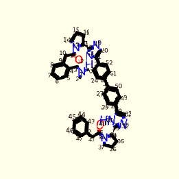 CN(C)Cc1ccccc1CC(=O)N1CCC[C@H]1c1ncc(-c2ccc(-c3ccc(-c4cnc([C@@H]5CCCN5C(=O)Cc5ccccc5)[nH]4)cc3)cc2)[nH]1